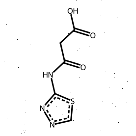 O=C(O)CC(=O)Nc1nn[c]s1